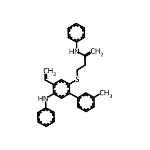 C=Cc1cc(SCCC(=C)Nc2ccccc2)c(-c2cccc(C)c2)cc1Nc1ccccc1